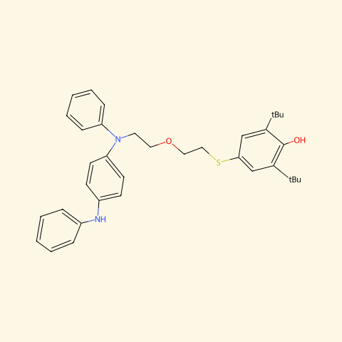 CC(C)(C)c1cc(SCCOCCN(c2ccccc2)c2ccc(Nc3ccccc3)cc2)cc(C(C)(C)C)c1O